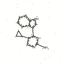 Nc1ncc(C2CC2)c(-c2c[nH]c3ccccc23)n1